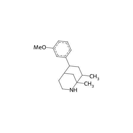 COc1cccc(C2CC(C)C3(C)CC2CCN3)c1